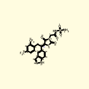 NS(=O)(=O)NC(=O)CN1C(=O)S/C(=C(/Cc2ccc(C(F)(F)F)cc2C(F)(F)F)c2ccc3[nH]ncc3c2)C1=O